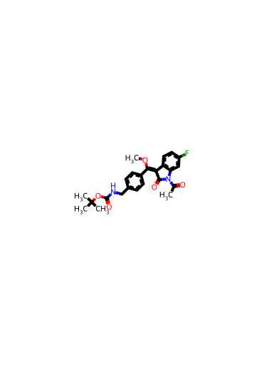 COC(=C1C(=O)N(C(C)=O)c2cc(F)ccc21)c1ccc(CNC(=O)OC(C)(C)C)cc1